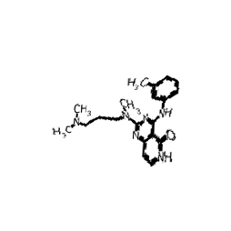 Cc1cccc(Nc2nc(N(C)CCCN(C)C)nc3cc[nH]c(=O)c23)c1